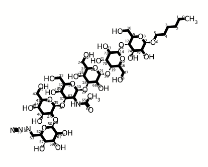 CCCCCCO[C@@H]1OC(CO)[C@@H](O[C@@H]2OC(CO)[C@H](O[C@H]3OC(CO)[C@H](O)[C@H](O[C@@H]4OC(CO)[C@H](O)[C@H](O[C@@H]5OC(CO)[C@H](O)[C@H](O)C5O[C@@H]5OC(CN=[N+]=[N-])[C@@H](O)[C@H](O)C5O)C4NC(C)=O)C3O)[C@H](O)C2O)[C@H](O)C1O